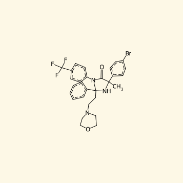 CC1(c2ccc(Br)cc2)NC(CCN2CCOCC2)(c2ccccc2)N(c2ccc(C(F)(F)F)cc2)C1=O